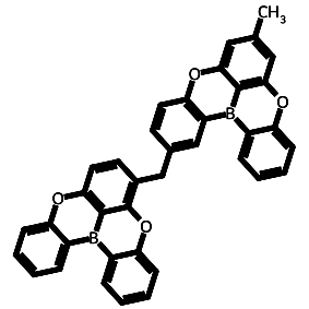 Cc1cc2c3c(c1)Oc1ccc(Cc4ccc5c6c4Oc4ccccc4B6c4ccccc4O5)cc1B3c1ccccc1O2